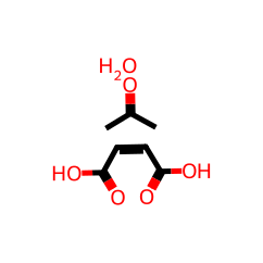 CC(C)=O.O.O=C(O)/C=C\C(=O)O